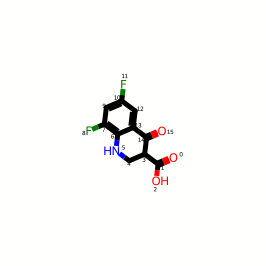 O=C(O)C1CNc2c(F)cc(F)cc2C1=O